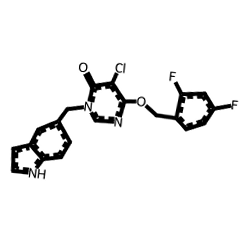 O=c1c(Cl)c(OCc2ccc(F)cc2F)ncn1Cc1ccc2[nH]ccc2c1